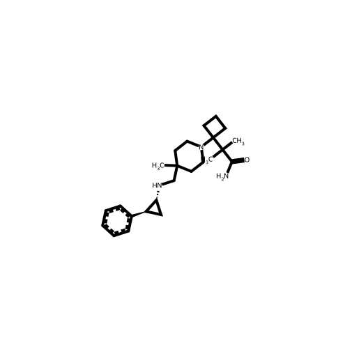 CC1(CN[C@@H]2C[C@H]2c2ccccc2)CCN(C2(C(C)(C)C(N)=O)CCC2)CC1